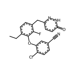 CCc1ccc(Cc2ccc(=O)[nH]n2)c(F)c1Oc1cc(C#N)ccc1Cl